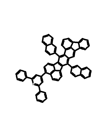 c1ccc(-c2cc(-c3ccc4c5c(-c6ccc7ccccc7c6)c6c(cc7c8ccccc8c8cccc6c87)c(-c6ccc7ccccc7c6)c5c5cccc3c54)cc(-c3ccccc3)n2)cc1